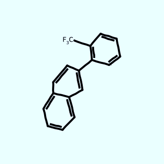 FC(F)(F)c1ccc[c]c1-c1ccc2ccccc2c1